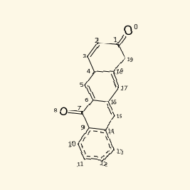 O=C1C=CC2C=C3C(=O)c4ccccc4C=C3C=C2C1